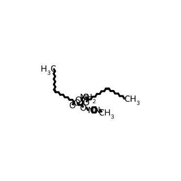 CCCCCCCC/C=C\CCCCCCCC(=O)OCC(OCCN1CCN(CC)CC1)C(OC(=O)CCCCCCC/C=C\CCCCCCCC)C(N)=O